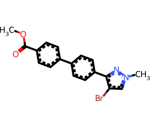 COC(=O)c1ccc(-c2ccc(-c3nn(C)cc3Br)cc2)cc1